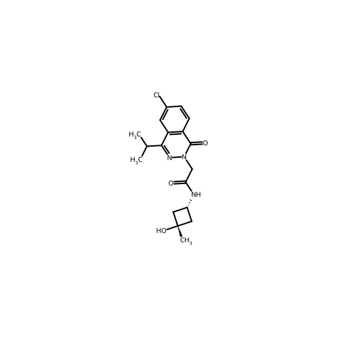 CC(C)c1nn(CC(=O)N[C@H]2C[C@@](C)(O)C2)c(=O)c2ccc(Cl)cc12